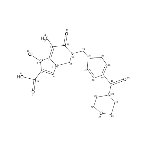 CC1=C2N(C=C(C(=O)O)[S+]2[O-])CN(Cc2ccc(C(=O)N3CCOCC3)cc2)C1=O